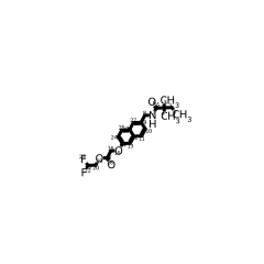 CCC(C)(C)C(=O)NCc1ccc2cc(OCC(=O)OCC(F)F)ccc2c1